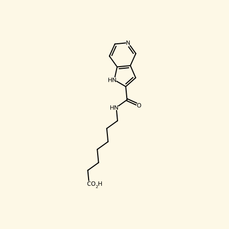 O=C(O)CCCCCCNC(=O)c1cc2cnccc2[nH]1